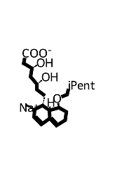 CCCC(C)CO[C@H]1CCC=C2C=C[C@@H](C)[C@H](CC[C@@H](O)C[C@@H](O)CC(=O)[O-])[C@H]21.[Na+]